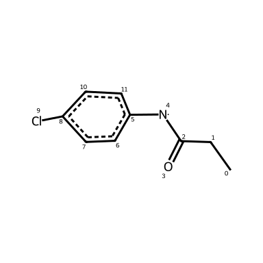 CCC(=O)[N]c1ccc(Cl)cc1